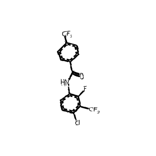 O=C(Nc1ccc(Cl)c(C(F)(F)F)c1F)c1ccc(C(F)(F)F)cc1